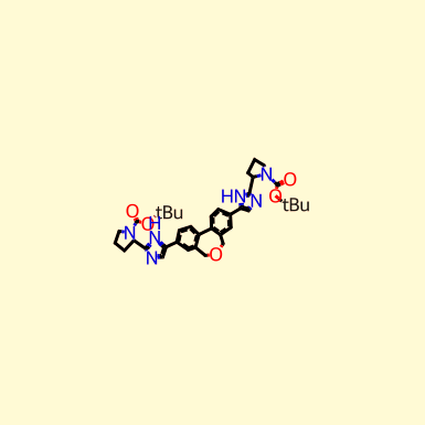 CC(C)(C)OC(=O)N1CCCC1c1ncc(-c2ccc3c(c2)COCc2cc(-c4cnc(C5CCCN5C(=O)OC(C)(C)C)[nH]4)ccc2-3)[nH]1